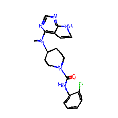 CN(c1ncnc2[nH]ccc12)C1CCN(C(=O)Nc2ccccc2Cl)CC1